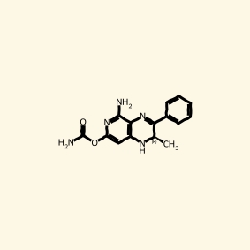 C[C@H]1Nc2cc(OC(N)=O)nc(N)c2N=C1c1ccccc1